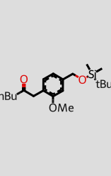 CCCCC(=O)Cc1ccc(CO[Si](C)(C)C(C)(C)C)cc1OC